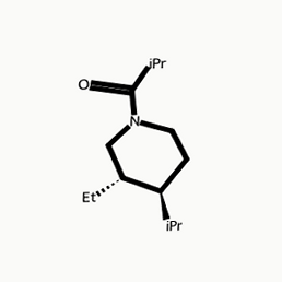 CC[C@@H]1CN(C(=O)C(C)C)CC[C@H]1C(C)C